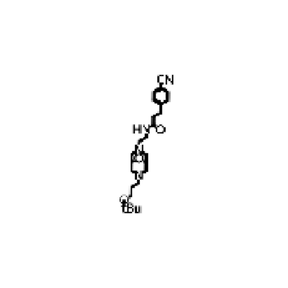 CC(C)(C)OCCCN1CC2CN(CCNC(=O)CCc3ccc(C#N)cc3)CC(C1)O2